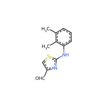 Cc1cccc(Nc2nc(C=O)cs2)c1C